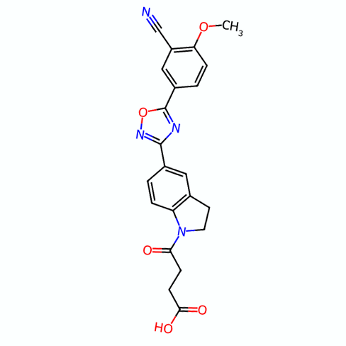 COc1ccc(-c2nc(-c3ccc4c(c3)CCN4C(=O)CCC(=O)O)no2)cc1C#N